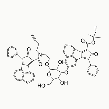 C#CCCN(CCOC1OC(CO)C(O)C(Oc2cc3c4c(cccc4c2)C2=C(C(=O)OC(C)(C)C#C)C(=O)C(c4ccccc4)=C23)C1O)C(=O)C1=C2C(=C(c3ccccc3)C1=O)c1cccc3cccc2c13